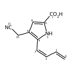 C=C/C=C\c1[nH]c(C(=O)O)cc1CC#N